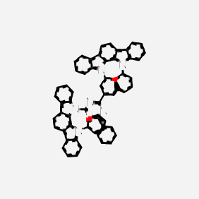 c1ccc(-c2nc(-c3cccc(-n4c5ccccc5c5ccc6c7ccccc7n(-c7ccccc7)c6c54)c3)nc(-n3c4ccccc4c4ccc5c6ccccc6n(-c6ccccc6)c5c43)n2)cc1